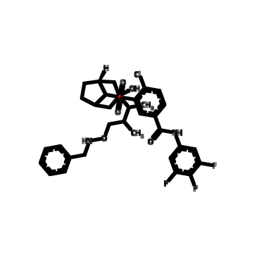 CC(CONCc1ccccc1)C(C)[C@]1(O)CC2CC[C@H](C1)C2S(=O)(=O)c1cc(C(=O)Nc2cc(F)c(F)c(F)c2)ccc1Cl